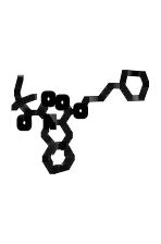 CCC(C)(C)C(=O)C(=O)N1Cc2ccccc2CC1C(=O)OCCCC1CCCCC1